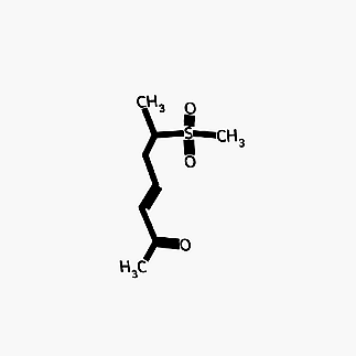 CC(=O)/C=C/CC(C)S(C)(=O)=O